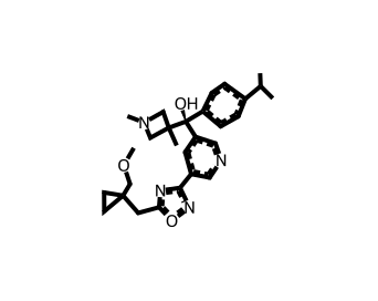 COCC1(Cc2nc(-c3cncc([C@@](O)(c4ccc(C(C)C)cc4)C4(C)CN(C)C4)c3)no2)CC1